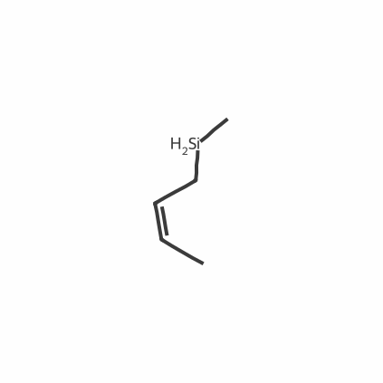 C/C=C\C[SiH2]C